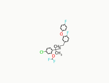 CC(C)(CCCc1ccc(F)c(Oc2ccc(F)cc2)c1)c1ccc(Cl)cc1OC(F)F